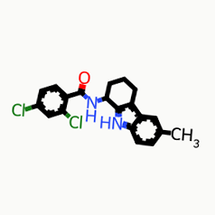 Cc1ccc2[nH]c3c(c2c1)CCCC3NC(=O)c1ccc(Cl)cc1Cl